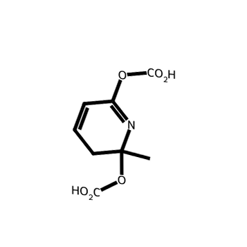 CC1(OC(=O)O)CC=CC(OC(=O)O)=N1